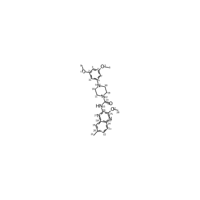 COc1cc(OC)cc(N2CCN(C(=O)Nc3nc4cc(C)ccc4nc3OC)CC2)c1